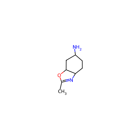 CC1=NC2CCC(N)CC2O1